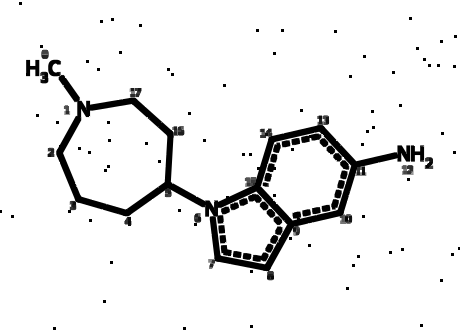 CN1CCCC(n2ccc3cc(N)ccc32)CC1